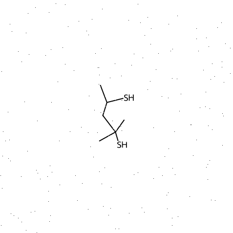 CC(S)CC(C)(C)S